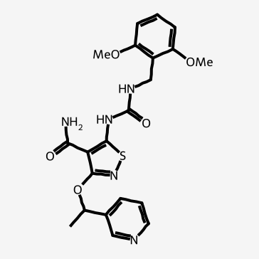 COc1cccc(OC)c1CNC(=O)Nc1snc(OC(C)c2cccnc2)c1C(N)=O